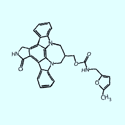 Cc1ccc(CNC(=O)OCC2Cn3c4ccccc4c4c5c(c6c7ccccc7n(c6c43)C2)C(=O)NC5)o1